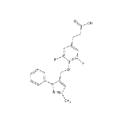 Cc1cc(COc2c(F)cc(CCC(=O)O)cc2F)n(-c2ccccc2)n1